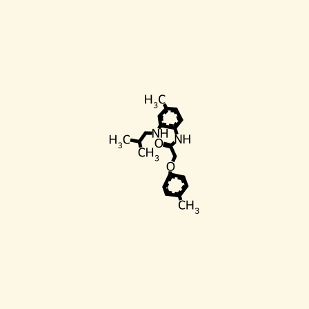 Cc1ccc(OCC(=O)Nc2ccc(C)cc2NCC(C)C)cc1